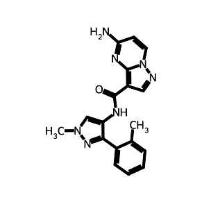 Cc1ccccc1-c1nn(C)cc1NC(=O)c1cnn2ccc(N)nc12